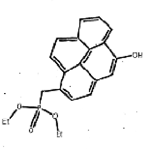 CCOP(=O)(Cc1ccc2cc(O)c3cccc4ccc1c2c43)OCC